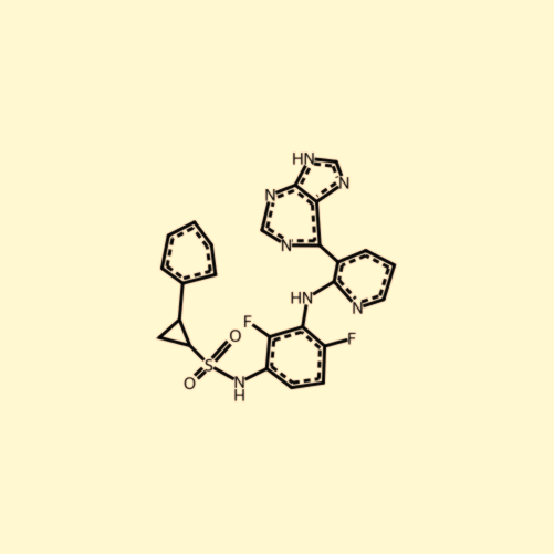 O=S(=O)(Nc1ccc(F)c(Nc2ncccc2-c2ncnc3[nH]cnc23)c1F)C1CC1c1ccccc1